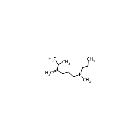 C=C(CCCP(C)CCC)C(C)C